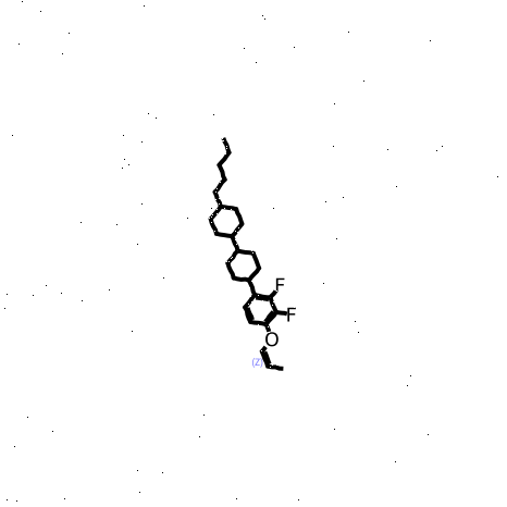 C/C=C\Oc1ccc(C2CCC(C3CCC(CCCCC)CC3)CC2)c(F)c1F